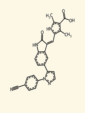 Cc1[nH]c(/C=C2\C(=O)Nc3ccc(-c4ccnn4-c4ccc(C#N)cc4)cc32)c(C)c1C(=O)O